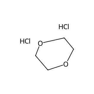 C1COCCO1.Cl.Cl